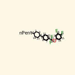 CCCCCC1CCC(c2ccc(C(F)(F)Oc3ccc(F)c(F)c3)cc2)CC1